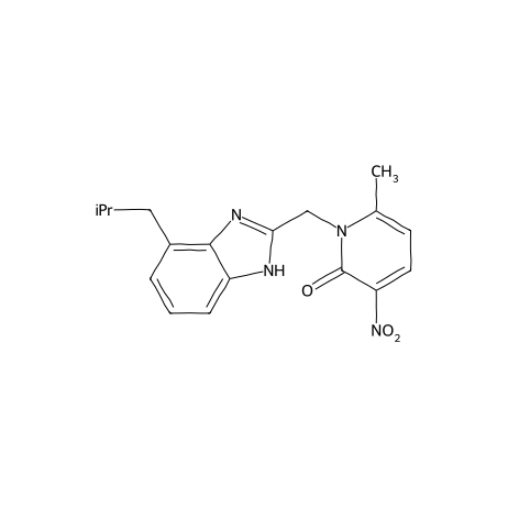 Cc1ccc([N+](=O)[O-])c(=O)n1Cc1nc2c(CC(C)C)cccc2[nH]1